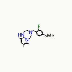 CSc1ccc(CN2CCNC3C(C)=CC(C)=C(C)N3CC2)c(F)c1